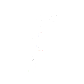 O=S(=O)(c1ccc(OC(F)(F)F)cc1)N1CCC(=NOCc2cccc(C(F)(F)F)c2C2CC2)CC1